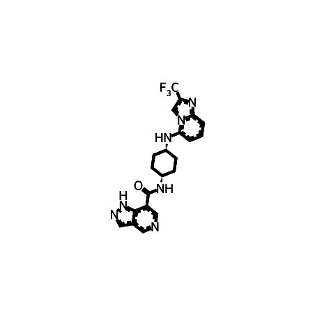 O=C(N[C@H]1CC[C@@H](Nc2cccc3nc(C(F)(F)F)cn23)CC1)c1cncc2cn[nH]c12